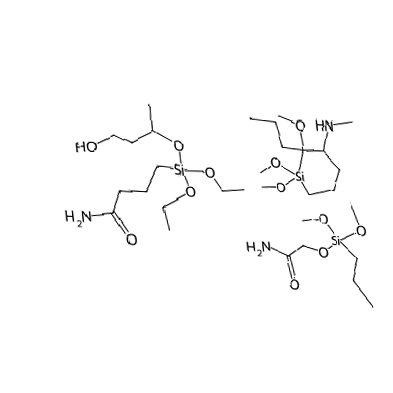 CCCC1(OC)C(NC)CCC[Si]1(OC)OC.CCC[Si](OC)(OC)OCC(N)=O.CCO[Si](CCCC(N)=O)(OCC)OC(C)CCO